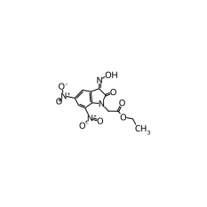 CCOC(=O)CN1C(=O)C(=NO)c2cc([N+](=O)[O-])cc([N+](=O)[O-])c21